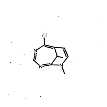 CC1C2=NC=NC(Cl)=C1C=CN2C